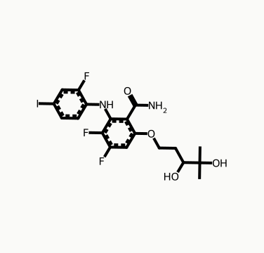 CC(C)(O)C(O)CCOc1cc(F)c(F)c(Nc2ccc(I)cc2F)c1C(N)=O